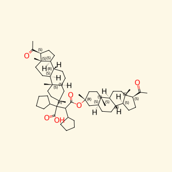 CC(=O)[C@H]1CC[C@H]2[C@@H]3CC[C@H]4C[C@](C)(OC(=O)C(C5CCCC5)C(C(=O)O)(C5CCCC5)[C@]5(C)CC[C@@]6(C)[C@@H](CC[C@@H]7[C@@H]6CC[C@]6(C)[C@@H](C(C)=O)CC[C@@H]76)C5)CC[C@]4(C)[C@H]3CC[C@]12C